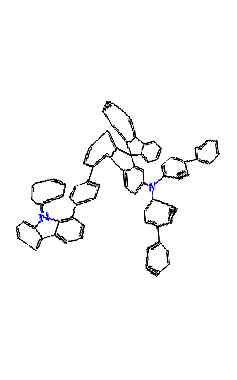 c1ccc(-c2ccc(N(c3ccc(-c4ccccc4)cc3)c3ccc4c(c3)C3(c5ccccc5-c5ccccc53)c3cccc(-c5ccc(-c6cccc7c8ccccc8n(-c8ccccc8)c67)cc5)c3-4)cc2)cc1